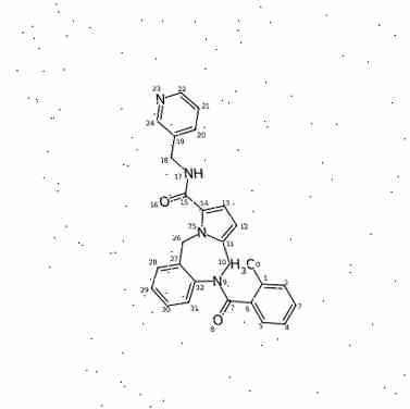 Cc1ccccc1C(=O)N1Cc2ccc(C(=O)NCc3cccnc3)n2Cc2ccccc21